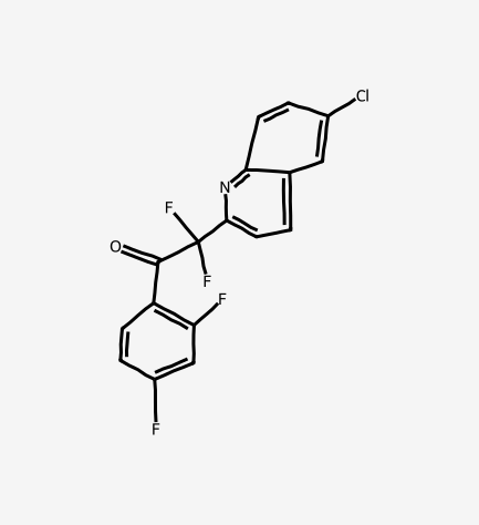 O=C(c1ccc(F)cc1F)C(F)(F)c1ccc2cc(Cl)ccc2n1